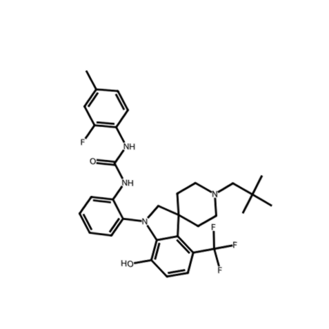 Cc1ccc(NC(=O)Nc2ccccc2N2CC3(CCN(CC(C)(C)C)CC3)c3c(C(F)(F)F)ccc(O)c32)c(F)c1